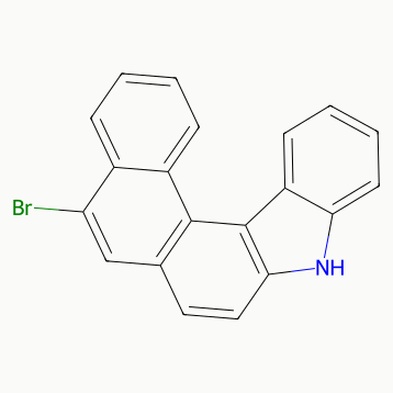 Brc1cc2ccc3[nH]c4ccccc4c3c2c2ccccc12